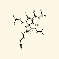 C#CCCOC(=O)O[C@]1(C(O)CCC(C)C)C(O)=C(C(=O)CC(C)C)C(=O)[C@@H]1CCC(C)C